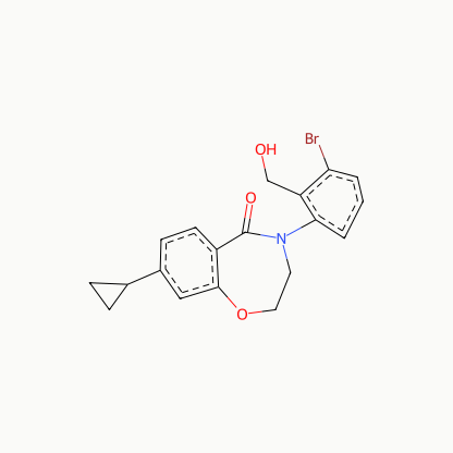 O=C1c2ccc(C3CC3)cc2OCCN1c1cccc(Br)c1CO